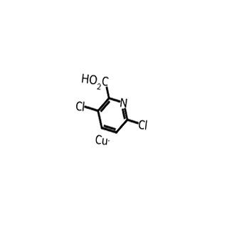 O=C(O)c1nc(Cl)ccc1Cl.[Cu]